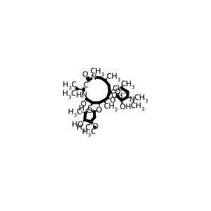 CO[C@]1(C)C[C@H](O[C@H]2[C@H](C)[C@@H](O[C@@H]3O[C@H](C)C[C@H](N(C)C)[C@H]3O)[C@](C)(O)C[C@@H](C)CN(C)C(=O)C[C@H](C(C)C)NC(=O)[C@@H]2C)O[C@@H](C)[C@@H]1O